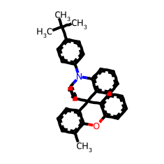 Cc1cccc2c1Oc1ccccc1C21c2ccccc2N(c2ccc(C(C)(C)C)cc2)c2ccccc21